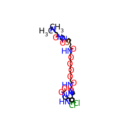 CN(C)C/C=C/C(=O)N1CCN(c2ccc(CCC(=O)NCCOCCOCCOCCOCCC(=O)NCCn3ccc(-c4cc(Cl)c(Cl)c5[nH]c6c(c45)CN(C(=O)CO)CC6)n3)s2)C(=O)C1